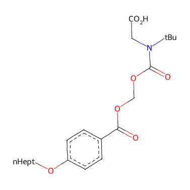 CCCCCCCOc1ccc(C(=O)OCOC(=O)N(CC(=O)O)C(C)(C)C)cc1